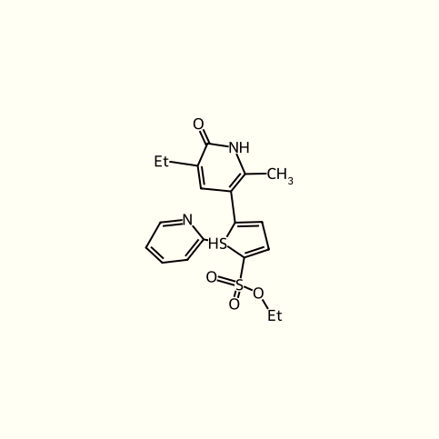 CCOS(=O)(=O)C1=CC=C(c2cc(CC)c(=O)[nH]c2C)[SH]1c1ccccn1